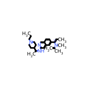 C=C(Nc1cc2cc(/C(=C/C)N(C)C(=C)C)ccc2cn1)C1CCN(CCC)CC1